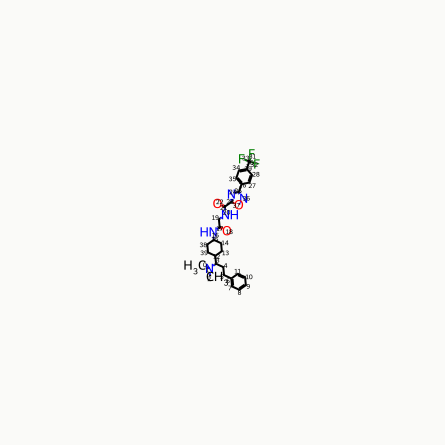 CN(C)C(CCc1ccccc1)C1CCC(NC(=O)CNC(=O)c2nc(-c3ccc(C(F)(F)F)cc3)no2)CC1